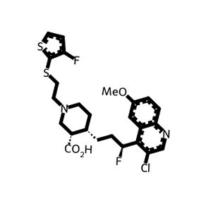 COc1ccc2ncc(Cl)c([C@@H](F)CC[C@H]3CCN(CCSc4sccc4F)C[C@H]3C(=O)O)c2c1